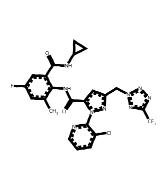 Cc1cc(F)cc(C(=O)NC2CC2)c1NC(=O)c1cc(Cn2nnc(C(F)(F)F)n2)nn1-c1ncccc1Cl